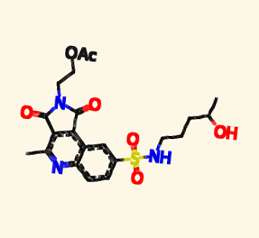 CC(=O)OCCN1C(=O)c2c(C)nc3ccc(S(=O)(=O)NCCCC(C)O)cc3c2C1=O